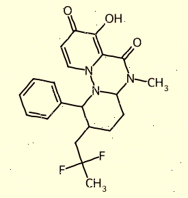 CN1C(=O)c2c(O)c(=O)ccn2N2C(c3ccccc3)C(CC(C)(F)F)CCC12